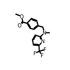 COC(=O)c1ccc(CN(C)c2cccc(C(F)(F)F)n2)cc1